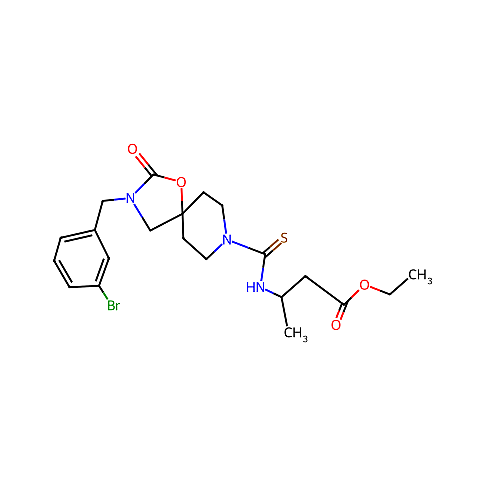 CCOC(=O)CC(C)NC(=S)N1CCC2(CC1)CN(Cc1cccc(Br)c1)C(=O)O2